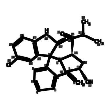 C=Cc1ccccc1C1(N2C[C@H](O)C[C@H]2C(=O)N(C)C)C(=O)Nc2ccc(Cl)cc21